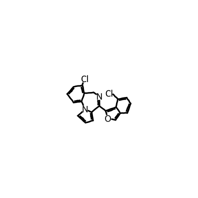 Clc1cccc2c1CN=C(c1occ3cccc(Cl)c13)c1cccn1-2